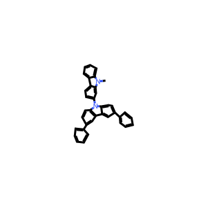 Cn1c2ccccc2c2ccc(-n3c4ccc(-c5ccccc5)cc4c4cc(-c5ccccc5)ccc43)cc21